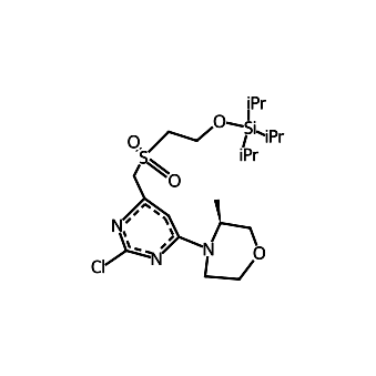 CC(C)[Si](OCCS(=O)(=O)Cc1cc(N2CCOC[C@@H]2C)nc(Cl)n1)(C(C)C)C(C)C